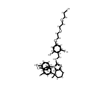 Cc1cc(C2(C)CCCc3nc(SCc4c(F)cc(OCCOCCOCCI)cc4F)n(-c4ccc(F)cc4)c32)ccc1Cl